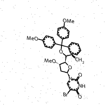 C=CC(OC(c1ccccc1)(c1ccc(OC)cc1)c1ccc(OC)cc1)[C@H]1O[C@@H](n2cc(Br)c(=O)[nH]c2=O)C[C@@H]1OC